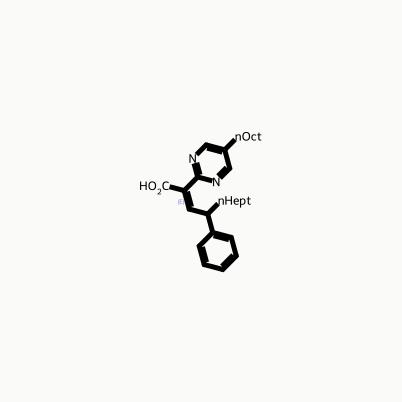 CCCCCCCCc1cnc(/C(=C\C(CCCCCCC)c2ccccc2)C(=O)O)nc1